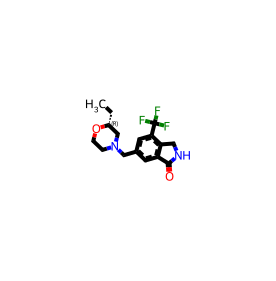 CC[C@@H]1CN(Cc2cc3c(c(C(F)(F)F)c2)CNC3=O)CCO1